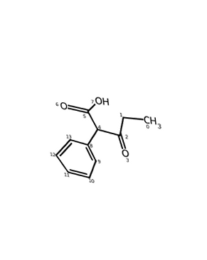 CCC(=O)C(C(=O)O)c1ccccc1